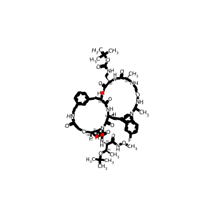 CONC(=O)[C@@H](NC(=O)[C@@H]1[C@@H]2CCN1C(=O)[C@@H]1Cc3cn(c4ccc(F)cc34)C(C)NOCN[C@@H](C)C(=O)N[C@H](CNC(=O)OC(C)(C)C)C(=O)N[C@@H](Cc3cccc(c3)CNC(=O)CO2)C(=O)N1)[C@@H](C)OC(C)(C)C